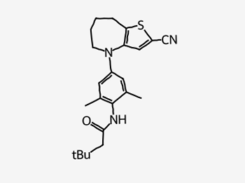 Cc1cc(N2CCCCc3sc(C#N)cc32)cc(C)c1NC(=O)CC(C)(C)C